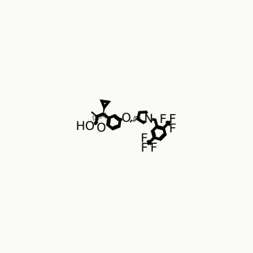 C[C@H](C(=O)O)[C@H](c1cccc(OC[C@@H]2CCN(Cc3cc(C(F)(F)F)ccc3C(F)(F)F)C2)c1)C1CC1